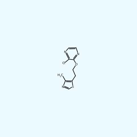 Cc1ncsc1CCOc1nccnc1Cl